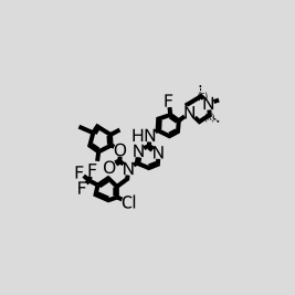 Cc1cc(C)c(OC(=O)N(Cc2cc(C(F)(F)F)ccc2Cl)c2ccnc(Nc3ccc(N4C[C@@H](C)N(C)[C@@H](C)C4)c(F)c3)n2)c(C)c1